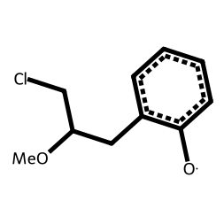 COC(CCl)Cc1ccccc1[O]